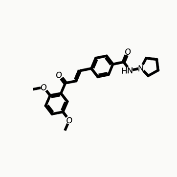 COc1ccc(OC)c(C(=O)C=Cc2ccc(C(=O)NN3CCCC3)cc2)c1